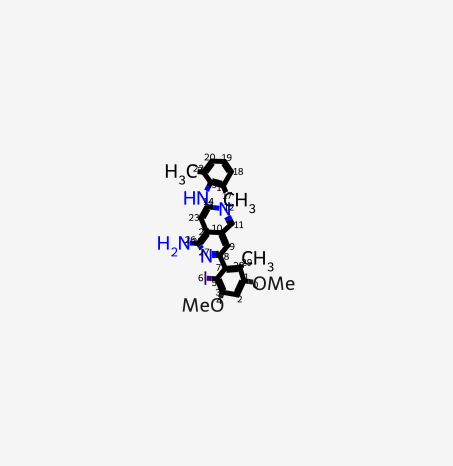 COc1cc(OC)c(I)c(-c2cc3cnc(Nc4c(C)cccc4C)cc3c(N)n2)c1C